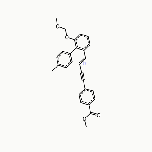 COCOc1cccc(/C=C/C#Cc2ccc(C(=O)OC)cc2)c1-c1ccc(C)cc1